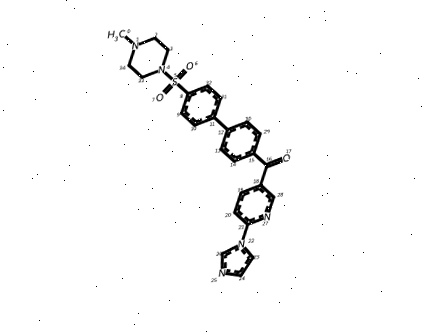 CN1CCN(S(=O)(=O)c2ccc(-c3ccc(C(=O)c4ccc(-n5ccnc5)nc4)cc3)cc2)CC1